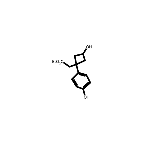 CCOC(=O)CC1(c2ccc(O)cc2)CC(O)C1